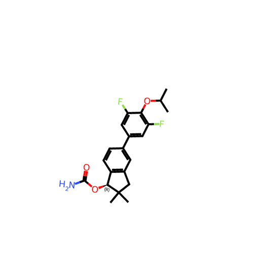 CC(C)Oc1c(F)cc(-c2ccc3c(c2)CC(C)(C)[C@H]3OC(N)=O)cc1F